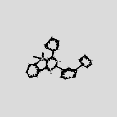 C[Si]1(C)c2ccccc2-c2nc(-c3cccc(-c4ccccc4)c3)nc(-c3ccccc3)c21